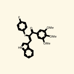 COc1cc(C(=O)C(=Cc2c[nH]c3ccccc23)Sc2ccc(F)cc2)cc(OC)c1OC